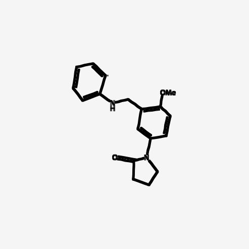 COc1ccc(N2CCCC2=O)cc1CNc1[c]cccc1